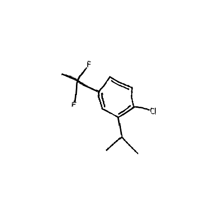 CC(C)c1cc(C(C)(F)F)ccc1Cl